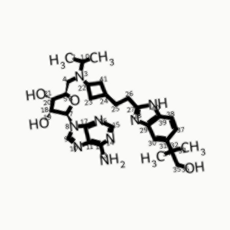 CC(C)N(C[C@H]1O[C@@H](n2cnc3c(N)ncnc32)[C@H](O)[C@@H]1O)C1CC(CCc2nc3cc(C(C)(C)CO)ccc3[nH]2)C1